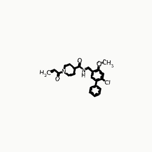 C=CC(=O)N1CCC(C(=O)NCc2cc(-c3ccccc3)c(Cl)cc2OC)CC1